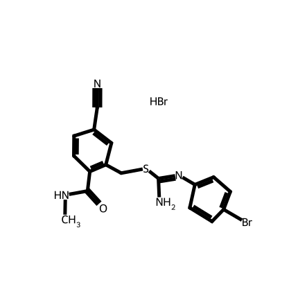 Br.CNC(=O)c1ccc(C#N)cc1CS/C(N)=N/c1ccc(Br)cc1